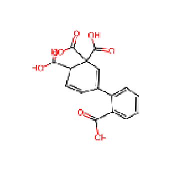 O=C(O)c1ccccc1C1=CC(C(=O)O)(C(=O)O)C(C(=O)O)C=C1